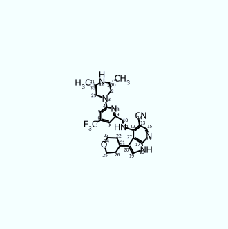 C[C@@H]1CN(c2cc(C(F)(F)F)cc(CNc3c(C#N)cnc4[nH]cc(C5CCOCC5)c34)n2)C[C@H](C)N1